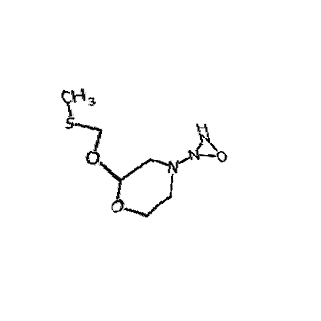 CSCOC1CN(n2[nH]o2)CCO1